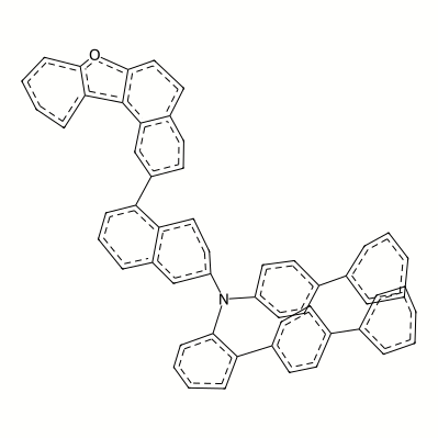 c1ccc(-c2ccc(-c3ccccc3N(c3ccc(-c4ccccc4)cc3)c3ccc4c(-c5ccc6ccc7oc8ccccc8c7c6c5)cccc4c3)cc2)cc1